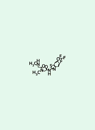 CNCC(=O)N(C)CC(=O)Nc1nc2ccc(OC(F)(F)F)cc2s1